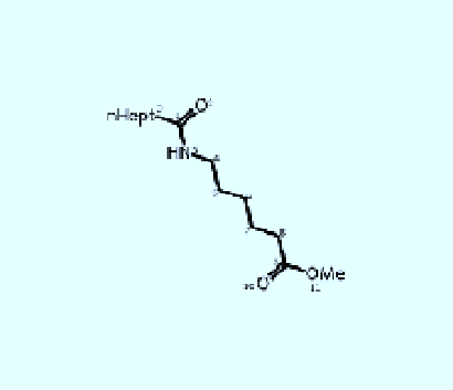 CCCCCCCC(=O)NCCCCCC(=O)OC